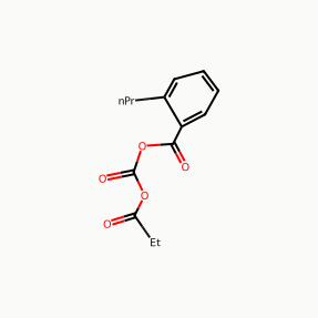 CCCc1ccccc1C(=O)OC(=O)OC(=O)CC